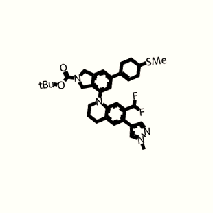 CSC1CC=C(c2cc3c(c(N4CCCc5cc(-c6cnn(C)c6)c(C(F)F)cc54)c2)CN(C(=O)OC(C)(C)C)C3)CC1